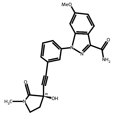 COc1ccc2c(C(N)=O)nn(-c3cccc(C#C[C@]4(O)CCN(C)C4=O)c3)c2c1